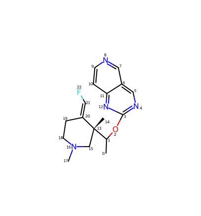 CC(Oc1ncc2cnccc2n1)[C@]1(C)CN(C)CC/C1=C\F